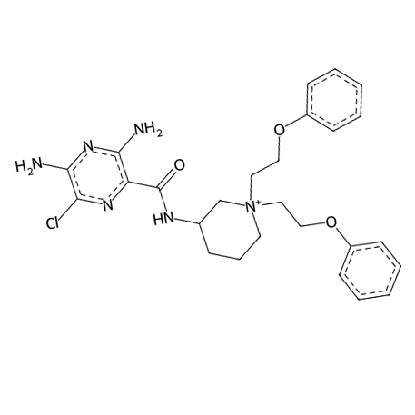 Nc1nc(N)c(C(=O)NC2CCC[N+](CCOc3ccccc3)(CCOc3ccccc3)C2)nc1Cl